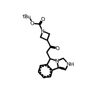 CC(C)(C)OC(=O)N1CC(C(=O)CC2c3ccccc3C3=CNCN32)C1